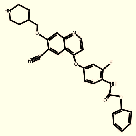 N#Cc1cc2c(Oc3ccc(NC(=O)Oc4ccccc4)c(F)c3)ccnc2cc1OCC1CCNCC1